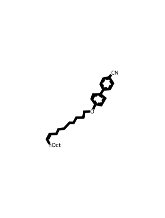 CCCCCCCC/C=C\CCCCCCCCOc1ccc(-c2ccc(C#N)cc2)cc1